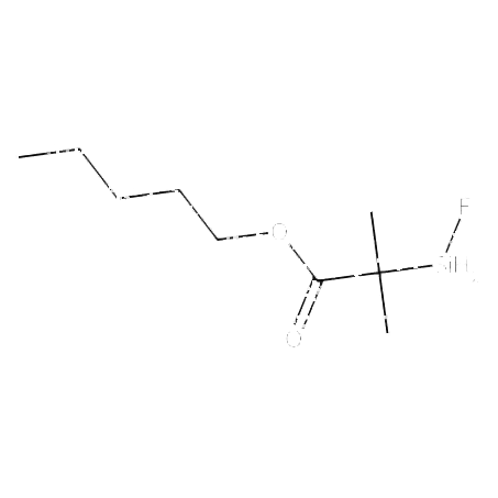 CCCCCOC(=O)C(C)(C)[SiH2]F